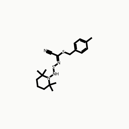 Cc1ccc(CSC(C#N)=NSNN2C(C)(C)CCCC2(C)C)cc1